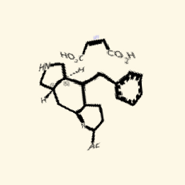 CC(=O)C1CCC2C(=N1)C[C@@H]1CNC[C@H]1C2Cc1ccccc1.O=C(O)/C=C\C(=O)O